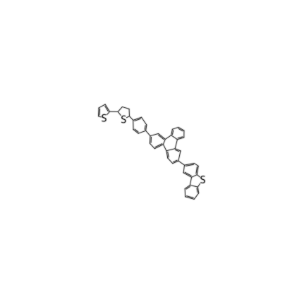 c1csc(C2CCC(c3ccc(-c4ccc5c6ccc(-c7ccc8sc9ccccc9c8c7)cc6c6ccccc6c5c4)cc3)S2)c1